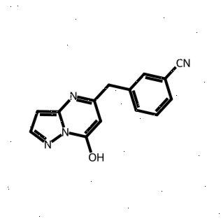 N#Cc1cccc(Cc2cc(O)n3nccc3n2)c1